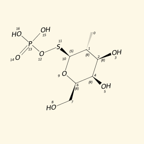 C[C@@H]1[C@@H](O)[C@@H](O)[C@@H](CO)O[C@H]1SOP(=O)(O)O